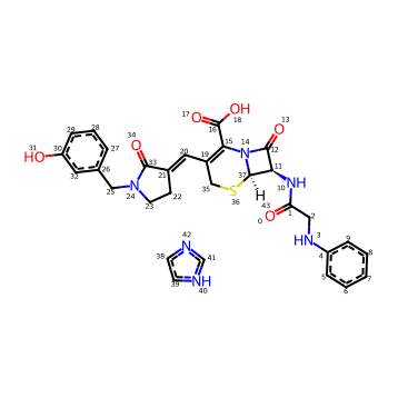 O=C(CNc1ccccc1)N[C@@H]1C(=O)N2C(C(=O)O)=C(/C=C3\CCN(Cc4cccc(O)c4)C3=O)CS[C@H]12.c1c[nH]cn1